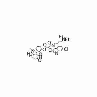 CCN(CC)CCCCN(C(=O)C(Cl)C(=O)Oc1ccc2c3c1O[C@H]1C(=O)CC[C@H]4[C@@H](C2)N(C)CC[C@]314)c1ccnc2cc(Cl)ccc12